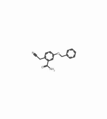 N#C[CH]c1ccc(OCc2ccccc2)cc1C(N)=O